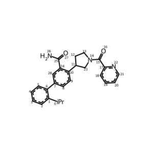 CC(C)c1ccccc1-c1ccc(C2CCN(C(=O)c3ccccn3)C2)c(C(N)=O)c1